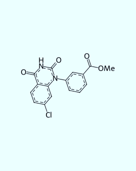 COC(=O)c1cccc(-n2c(=O)[nH]c(=O)c3ccc(Cl)cc32)c1